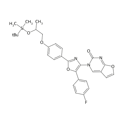 CC(COc1ccc(-c2nc(-n3cc4ccoc4nc3=O)c(-c3ccc(F)cc3)o2)cc1)O[Si](C)(C)C(C)(C)C